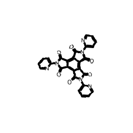 O=c1c2c3c(=O)n(-c4ccccn4)c(=O)c3c3c(=O)n(-c4ccccn4)c(=O)c3c2c(=O)n1-c1ccccn1